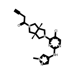 C#CCC(=O)N1C[C@@]2(C)CN(c3nc(Nc4cnn(C)c4)ncc3Cl)C[C@@]2(C)C1